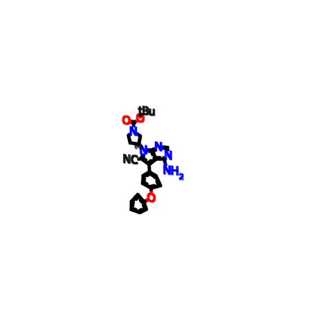 CC(C)(C)OC(=O)N1CC[C@@H](n2c(C#N)c(-c3ccc(Oc4ccccc4)cc3)c3c(N)ncnc32)C1